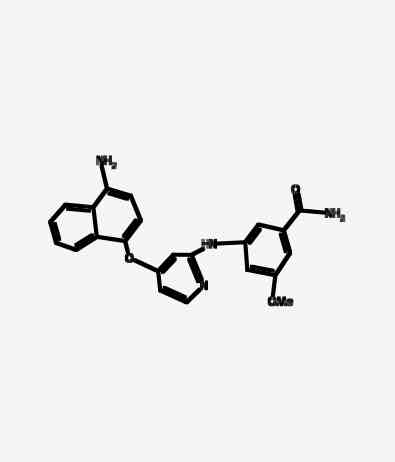 COc1cc(Nc2cc(Oc3ccc(N)c4ccccc34)ccn2)cc(C(N)=O)c1